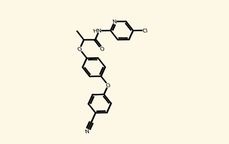 CC(Oc1ccc(Oc2ccc(C#N)cc2)cc1)C(=O)Nc1ccc(Cl)cn1